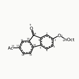 CCCCCCCCOc1ccc2c(c1)C(=O)c1cc(C(C)=O)ccc1-2